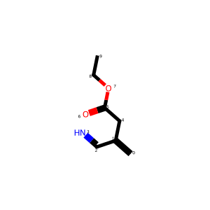 C=C(C=N)CC(=O)OCC